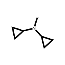 [CH2]N(C1CC1)C1CC1